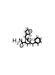 NC(=O)C1CC(Cc2ccccc2)ON1CC1CCOC1